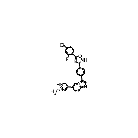 CN1C=C(c2ccc3ncc(-c4ccc(C5N=C(c6ccc(Cl)cc6F)ON5)cc4)n3c2)CN1